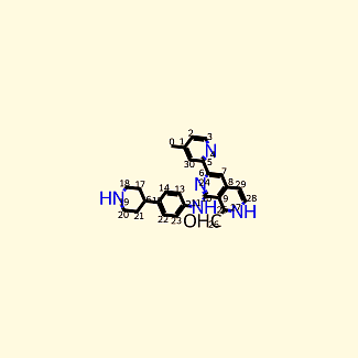 Cc1ccnc(-c2cc3c(c(Nc4ccc(C5CCNCC5)cc4)n2)C(C=O)NC=C3)c1